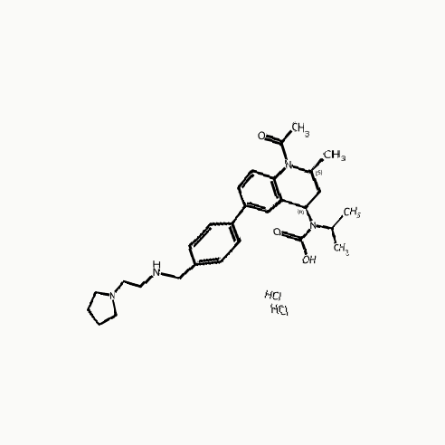 CC(=O)N1c2ccc(-c3ccc(CNCCN4CCCC4)cc3)cc2[C@H](N(C(=O)O)C(C)C)C[C@@H]1C.Cl.Cl